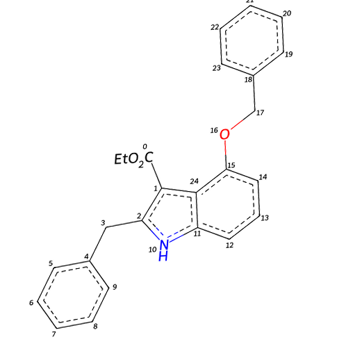 CCOC(=O)c1c(Cc2ccccc2)[nH]c2cccc(OCc3ccccc3)c12